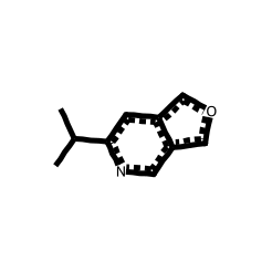 CC(C)c1cc2cocc2cn1